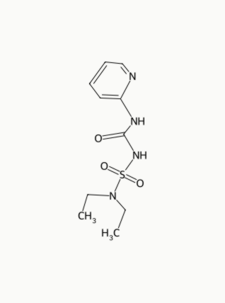 CCN(CC)S(=O)(=O)NC(=O)Nc1ccccn1